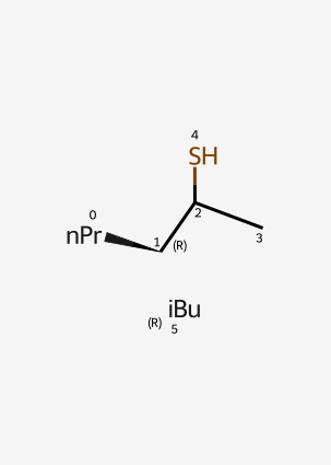 CCC[C@@H](C(C)S)[C@H](C)CC